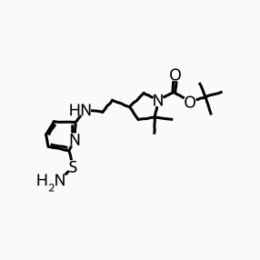 CC(C)(C)OC(=O)N1CC(CCNc2cccc(SN)n2)CC1(C)C